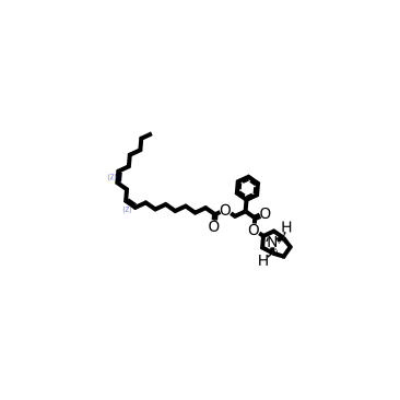 CCCCC/C=C\C/C=C\CCCCCCCC(=O)OCC(C(=O)OC1C[C@H]2CC[C@@H](C1)N2C)c1ccccc1